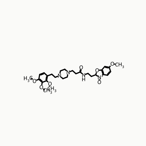 COc1ccc2c(c1)OC(CCNC(=O)CCN1CCN(CCc3ccc(OC)c(OC)c3OC)CC1)[N+]2=O